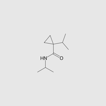 CC(C)NC(=O)C1(C(C)C)CC1